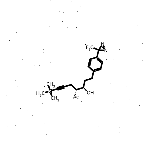 CC(=O)[C@H](CC#C[Si](C)(C)C)[C@H](O)CCc1ccc(C2(C(F)(F)F)N=N2)cc1